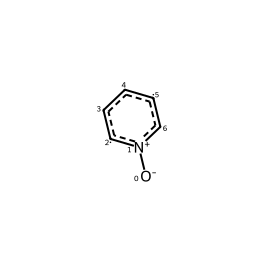 [O-][n+]1[c]cc[c]c1